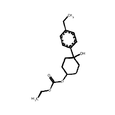 CCOC(=O)OC1CCC(O)(c2ccc(CC)cc2)CC1